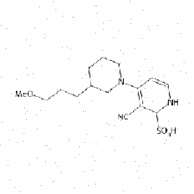 COCCCC1CCCN(C2=C(C#N)C(S(=O)(=O)O)NC=C2)C1